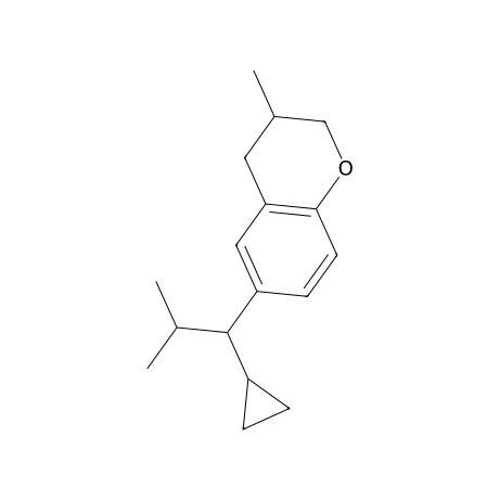 CC1COc2ccc(C(C(C)C)C3CC3)cc2C1